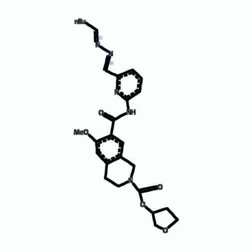 CCCC/C=N/N=C/c1cccc(NC(=O)c2cc3c(cc2OC)CCN(C(=O)OC2CCOC2)C3)n1